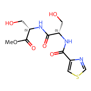 COC(=O)[C@H](CO)NC(=O)[C@H](CO)NC(=O)c1cscn1